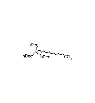 CCCCCCCCCCCC[Si](CCCCCCCCCCCC)(CCCCCCCCCCCC)CCCCCCCCCCCC(Cl)(Cl)Cl